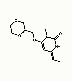 C/C=C1/C=C(OCC2COCCO2)N(C)C(=O)N1